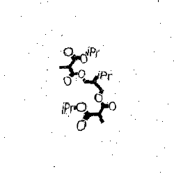 CC(C)OC(=O)C(C)C(=O)OCC(COC(=O)C(C)C(=O)OC(C)C)C(C)C